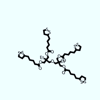 CCC(COCC(CC)(COC(=O)CCCCC1CCSS1)COC(=O)CCCCC1CCSS1)(COC(=O)CCCCC1CCSS1)COC(=O)CCCCC1CCSS1